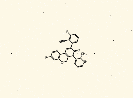 CC1NC=CC=C1n1c2c(cc(-c3cccc(F)c3C#N)c1=O)-c1ncc(F)cc1OC2